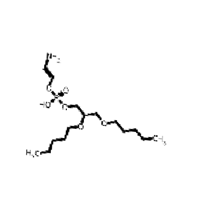 CCCCCOC[C@H](COP(=O)(O)OC=CN)OCCCCC